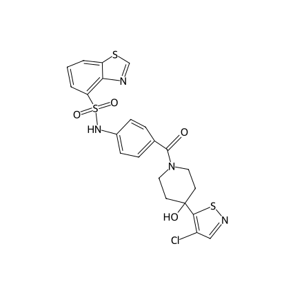 O=C(c1ccc(NS(=O)(=O)c2cccc3scnc23)cc1)N1CCC(O)(c2sncc2Cl)CC1